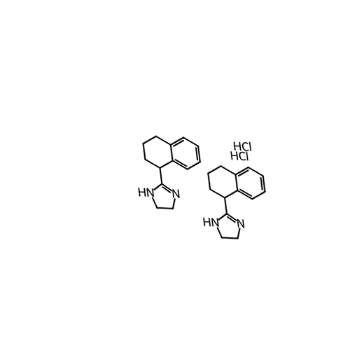 Cl.Cl.c1ccc2c(c1)CCCC2C1=NCCN1.c1ccc2c(c1)CCCC2C1=NCCN1